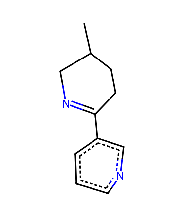 CC1CCC(c2cccnc2)=NC1